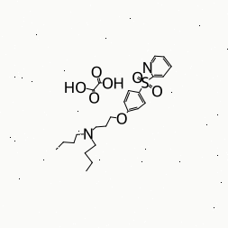 CCCCN(CCCC)CCCOc1ccc(S(=O)(=O)c2ccccn2)cc1.O=C(O)C(=O)O